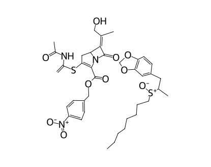 C=C(NC(C)=O)SC1=C(C(=O)OCc2ccc([N+](=O)[O-])cc2)N2C(=O)/C(=C(\C)CO)C2C1.CCCCCCCC[S+]([O-])C(C)Cc1ccc2c(c1)OCO2